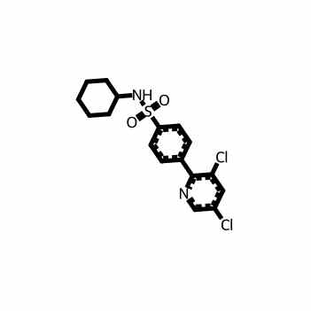 O=S(=O)(NC1CCCCC1)c1ccc(-c2ncc(Cl)cc2Cl)cc1